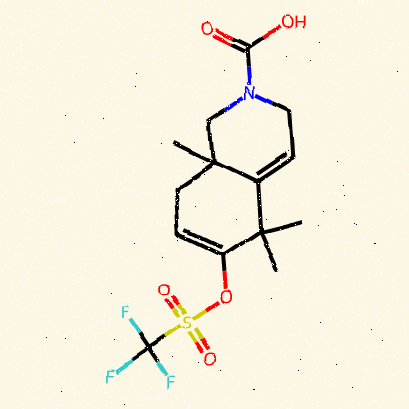 CC12CC=C(OS(=O)(=O)C(F)(F)F)C(C)(C)C1=CCN(C(=O)O)C2